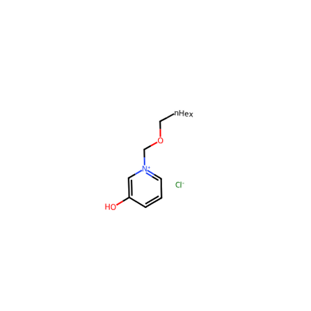 CCCCCCCOC[n+]1cccc(O)c1.[Cl-]